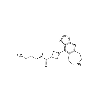 O=C(NCCCC(F)(F)F)C1CN(c2c3c(nc4ccnn24)CCNCC3)C1